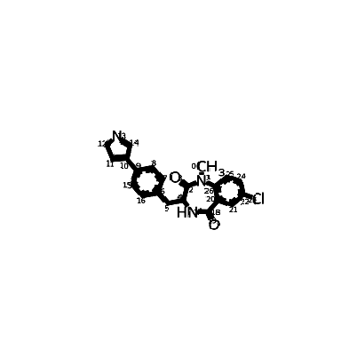 CN1C(=O)C(Cc2ccc(C3=CCN=C3)cc2)NC(=O)c2cc(Cl)ccc21